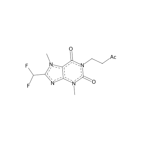 CC(=O)CCn1c(=O)c2c(nc(C(F)F)n2C)n(C)c1=O